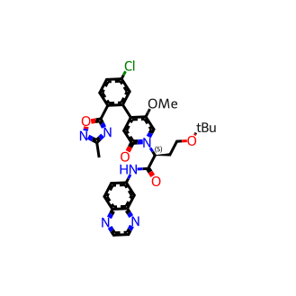 COc1cn([C@@H](CCOC(C)(C)C)C(=O)Nc2ccc3nccnc3c2)c(=O)cc1-c1cc(Cl)ccc1-c1nc(C)no1